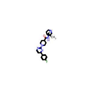 CC1(NC(=O)C2CCN(c3nccc(-c4ccc(F)cc4)n3)CC2)CN2CCC1CC2